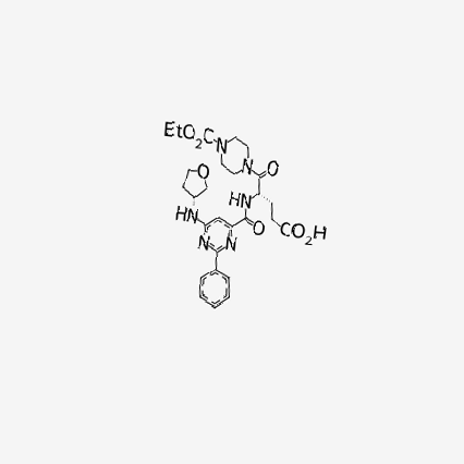 CCOC(=O)N1CCN(C(=O)[C@H](CCC(=O)O)NC(=O)c2cc(N[C@@H]3CCOC3)nc(-c3ccccc3)n2)CC1